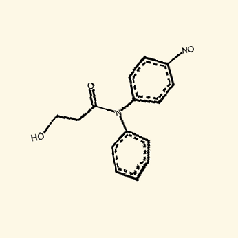 O=Nc1ccc(N(C(=O)CCO)c2ccccc2)cc1